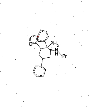 CC(C)NP1CC(c2ccccc2)CC(c2ccco2)C1(P)c1ccccc1